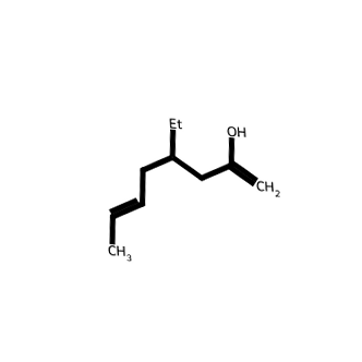 C=C(O)CC(CC)C/C=C/C